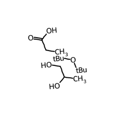 CC(C)(C)OC(C)(C)C.CC(O)CO.CCC(=O)O